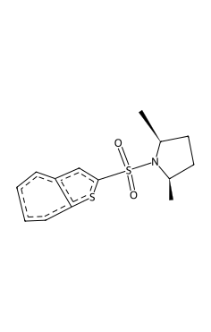 C[C@@H]1CC[C@H](C)N1S(=O)(=O)c1cc2ccccc2s1